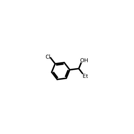 CCC(O)c1cccc(Cl)c1